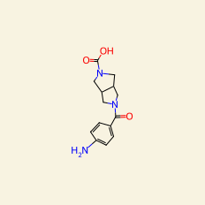 Nc1ccc(C(=O)N2CC3CN(C(=O)O)CC3C2)cc1